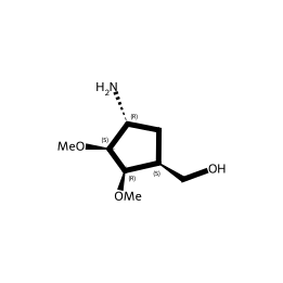 CO[C@@H]1[C@H](CO)C[C@@H](N)[C@@H]1OC